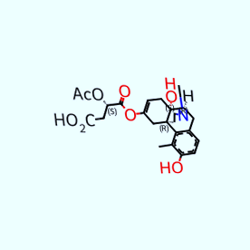 CC(=O)O[C@@H](CC(=O)O)C(=O)OC1=CC[C@@]2(O)[C@H]3Cc4ccc(O)c(C)c4[C@@]2(CCN3C)C1